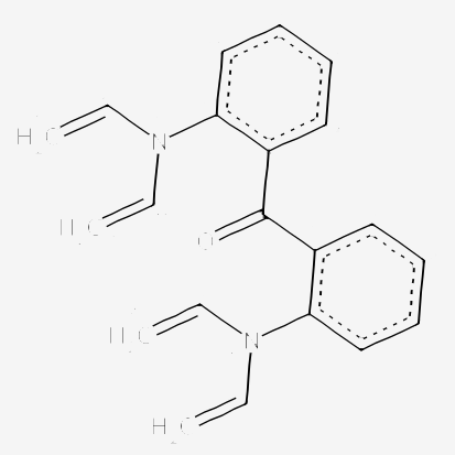 C=CN(C=C)c1ccccc1C(=O)c1ccccc1N(C=C)C=C